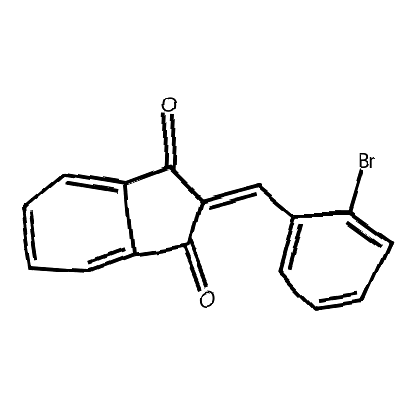 O=C1C(=Cc2ccccc2Br)C(=O)c2ccccc21